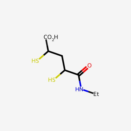 CCNC(=O)C(S)CC(S)C(=O)O